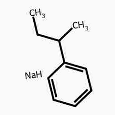 CCC(C)c1ccccc1.[NaH]